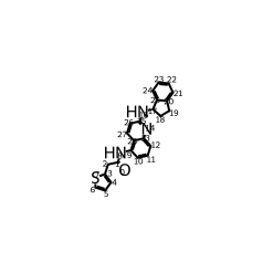 O=C(Cc1cccs1)Nc1cccc2nc(N[C@@H]3CCc4ccccc43)ccc12